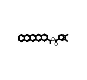 CC(OC(=O)C1CC2CC1C(C)C2C)c1ccc2cc3cc4cc5ccccc5cc4cc3cc2c1